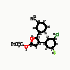 CCOC(=O)Oc1cc(-c2cc(F)cc(Cl)c2)c(-c2cccc(C#N)c2)o1